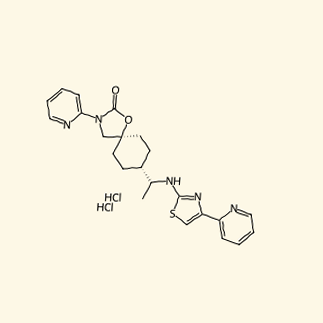 CC(Nc1nc(-c2ccccn2)cs1)[C@H]1CC[C@]2(CC1)CN(c1ccccn1)C(=O)O2.Cl.Cl